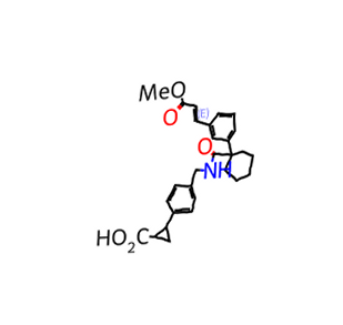 COC(=O)/C=C/c1cccc(C2(C(=O)NCc3ccc(C4CC4C(=O)O)cc3)CCCCC2)c1